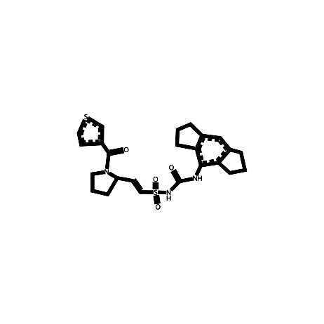 O=C(Nc1c2c(cc3c1CCC3)CCC2)NS(=O)(=O)C=CC1CCCN1C(=O)c1ccsc1